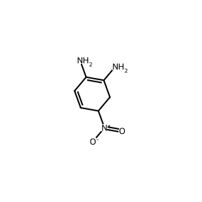 NC1=C(N)CC([N+](=O)[O-])C=C1